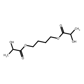 CC(O)C(=O)OCCCCOC(=O)C(C)O